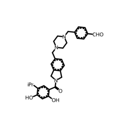 CC(C)c1cc(C(=O)N2Cc3ccc(CN4CCN(Cc5ccc(C=O)cc5)CC4)cc3C2)c(O)cc1O